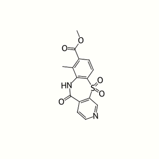 COC(=O)c1ccc2c(c1C)NC(=O)c1ccncc1S2(=O)=O